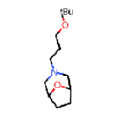 CC(C)(C)OCCCN1CC2CCC(C1)O2